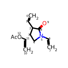 C=CC1CCN(C=C)C1=O.C=COC(C)=O